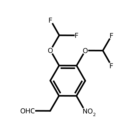 O=CCc1cc(OC(F)F)c(OC(F)F)cc1[N+](=O)[O-]